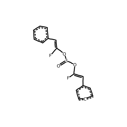 O=S(OC(F)=Cc1ccccc1)OC(F)=Cc1ccccc1